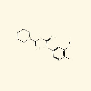 N=C(NC(=N)N1CCCCC1)Nc1ccc(Cl)c(OC(F)(F)F)c1